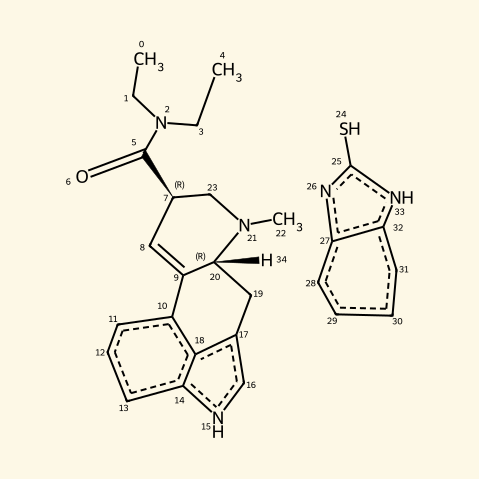 CCN(CC)C(=O)[C@@H]1C=C2c3cccc4[nH]cc(c34)C[C@H]2N(C)C1.Sc1nc2ccccc2[nH]1